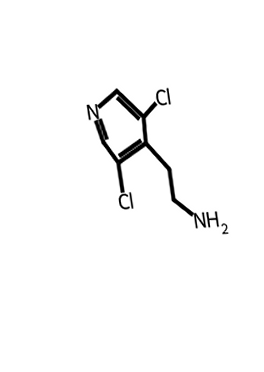 NCCc1c(Cl)cncc1Cl